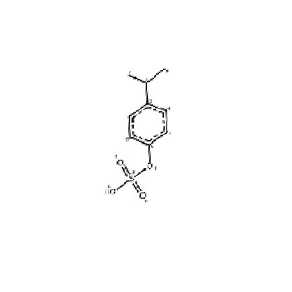 CC(C)c1ccc(OS(=O)(=O)O)cc1